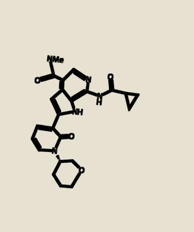 CNC(=O)c1cnc(NC(=O)C2CC2)c2[nH]c(-c3cccn([C@H]4CCCOC4)c3=O)cc12